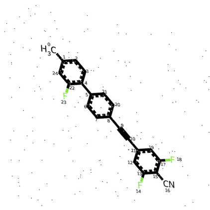 Cc1ccc(-c2ccc(C#Cc3cc(F)c(C#N)c(F)c3)cc2)c(F)c1